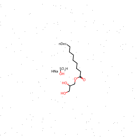 CCCCCCCCCCCCCCCCCC(=O)OCC(O)CO.O=S(=O)(O)O.[NaH]